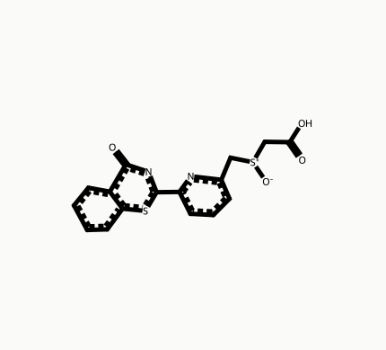 O=C(O)C[S+]([O-])Cc1cccc(-c2nc(=O)c3ccccc3s2)n1